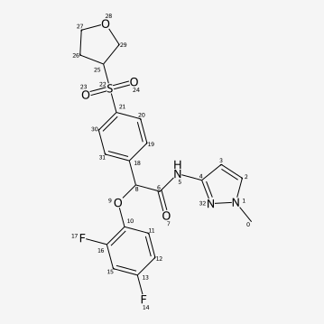 Cn1ccc(NC(=O)C(Oc2ccc(F)cc2F)c2ccc(S(=O)(=O)C3CCOC3)cc2)n1